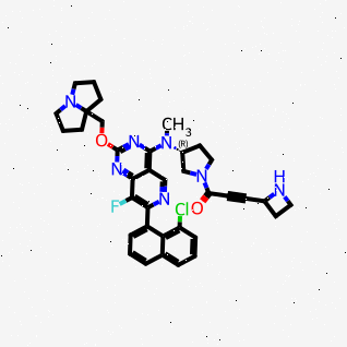 CN(c1nc(OCC23CCCN2CCC3)nc2c(F)c(-c3cccc4cccc(Cl)c34)ncc12)[C@@H]1CCN(C(=O)C#CC2CCN2)C1